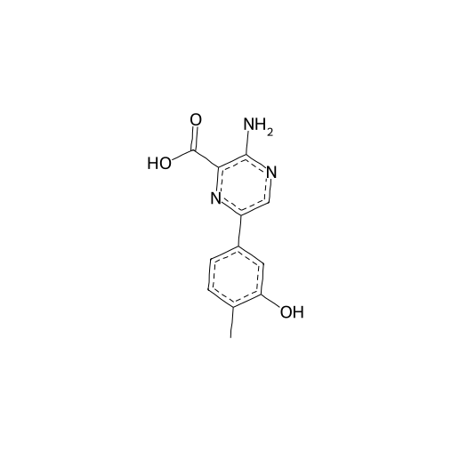 Cc1ccc(-c2cnc(N)c(C(=O)O)n2)cc1O